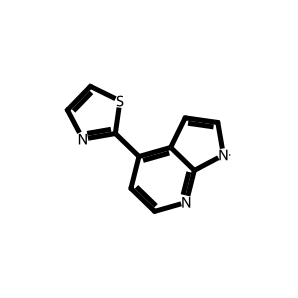 C1=Cc2c(-c3nccs3)ccnc2[N]1